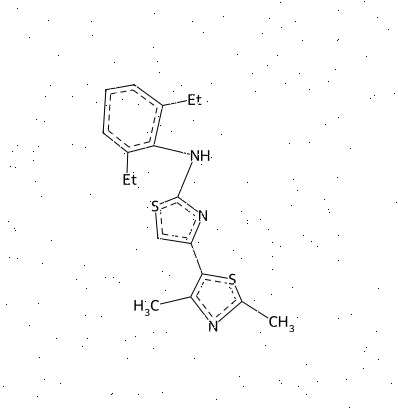 CCc1cccc(CC)c1Nc1nc(-c2sc(C)nc2C)cs1